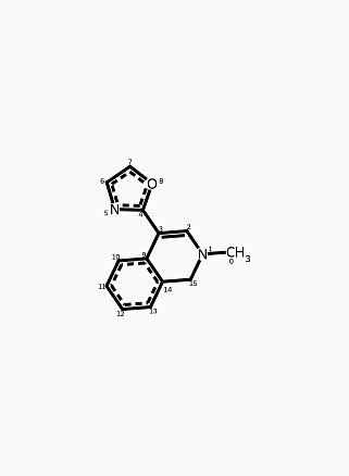 CN1C=C(c2ncco2)c2ccccc2C1